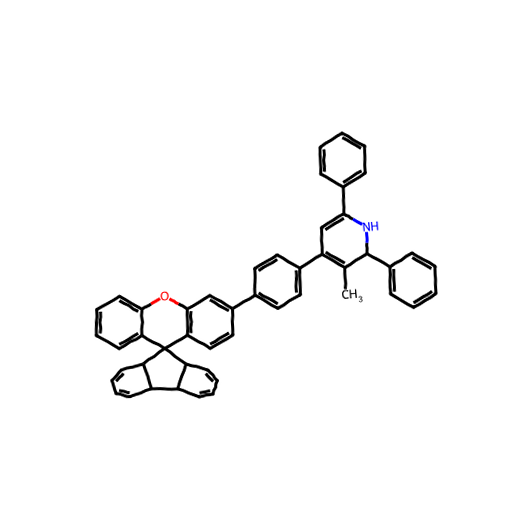 CC1=C(c2ccc(-c3ccc4c(c3)Oc3ccccc3C43C4C=CC=CC4C4C=CC=CC43)cc2)C=C(c2ccccc2)NC1c1ccccc1